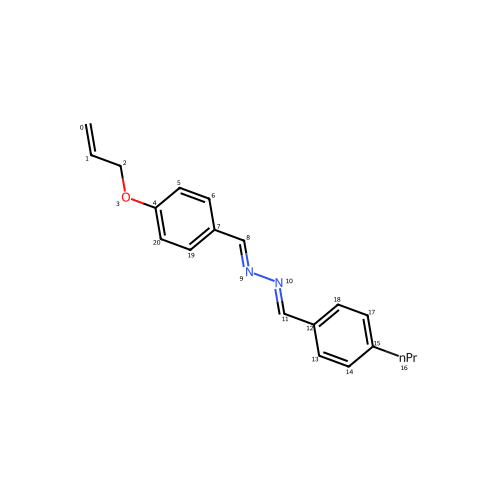 C=CCOc1ccc(C=NN=Cc2ccc(CCC)cc2)cc1